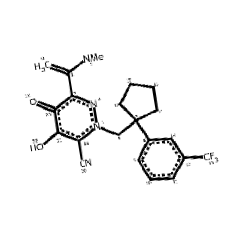 C=C(NC)c1nn(CC2(c3cccc(C(F)(F)F)c3)CCCC2)c(C#N)c(O)c1=O